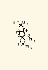 CC1(C)O[C@H]2O[C@](CO)(COP)[C@@H](OP)[C@H]2O1